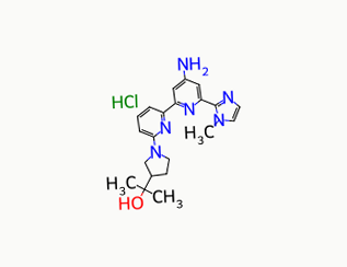 Cl.Cn1ccnc1-c1cc(N)cc(-c2cccc(N3CCC(C(C)(C)O)C3)n2)n1